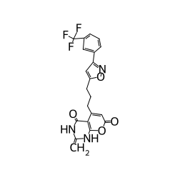 C=C1NC(=O)c2c(CCCc3cc(-c4cccc(C(F)(F)F)c4)no3)cc(=O)oc2N1